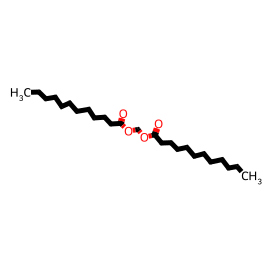 CCCCCCCCCCCC(=O)OCOC(=O)CCCCCCCCCCC